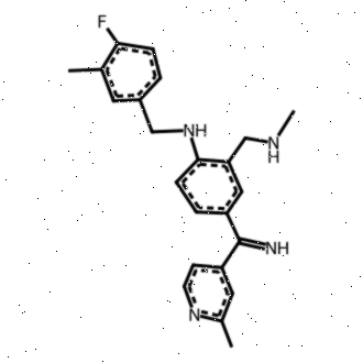 CNCc1cc(C(=N)c2ccnc(C)c2)ccc1NCc1ccc(F)c(C)c1